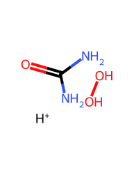 NC(N)=O.OO.[H+]